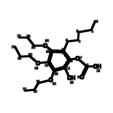 CCCCCc1c(OC(=O)O)c(O)c(OCCC)c(OCCC)c1OCCC